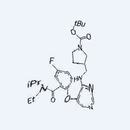 CCN(C(=O)c1cc(F)ccc1Oc1cncnc1NCC1CCN(C(=O)OC(C)(C)C)C1)C(C)C